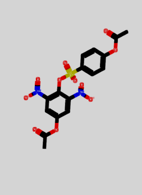 CC(=O)Oc1ccc(S(=O)(=O)Oc2c([N+](=O)[O-])cc(OC(C)=O)cc2[N+](=O)[O-])cc1